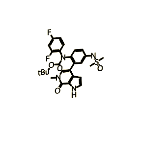 Cn1cc(-c2cc(N=S(C)(C)=O)ccc2N(C(=O)OC(C)(C)C)c2ccc(F)cc2F)c2cc[nH]c2c1=O